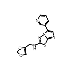 C1=C(CNc2nn3c(-c4cccnc4)cnc3s2)OCO1